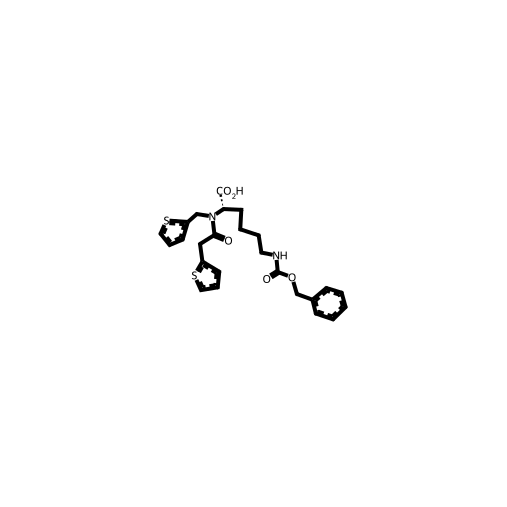 O=C(NCCCC[C@@H](C(=O)O)N(Cc1cccs1)C(=O)Cc1cccs1)OCc1ccccc1